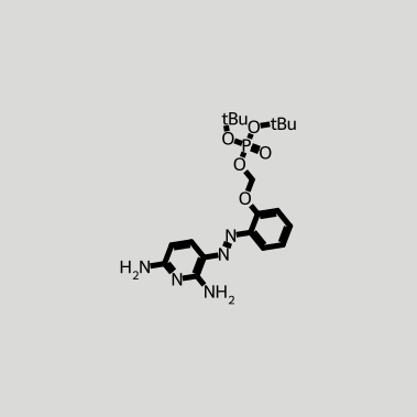 CC(C)(C)OP(=O)(OCOc1ccccc1N=Nc1ccc(N)nc1N)OC(C)(C)C